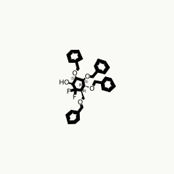 O[C@H]1[C@H](OCc2ccccc2)[C@@H](OCc2ccccc2)[C@H](OCc2ccccc2)[C@@H](COCc2ccccc2)C1(F)F